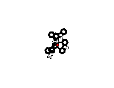 C[Si](C)(C)c1cccc2c1sc1c(-c3cccc4oc5ccc(-n6c7ccccc7c7ccccc76)c(-c6nc(-c7ccccc7)nc(-c7ccccc7)n6)c5c34)cccc12